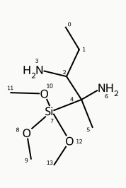 CCC(N)C(C)(N)[Si](OC)(OC)OC